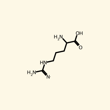 [N]=C(N)NCCCC(N)C(=O)O